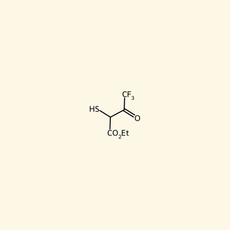 CCOC(=O)C(S)C(=O)C(F)(F)F